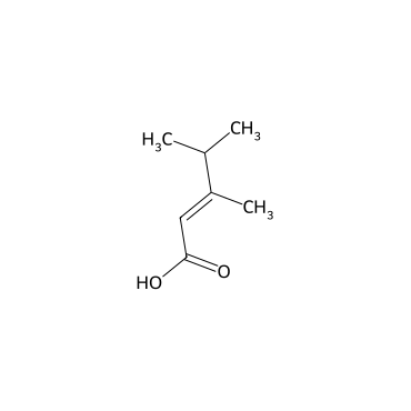 C/C(=C\C(=O)O)C(C)C